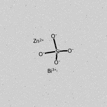 [Bi+3].[O-][Si]([O-])([O-])[O-].[Zn+2]